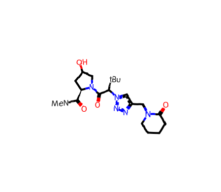 CNC(=O)[C@H]1CC(O)CN1C(=O)C(n1cc(CN2CCCCC2=O)nn1)C(C)(C)C